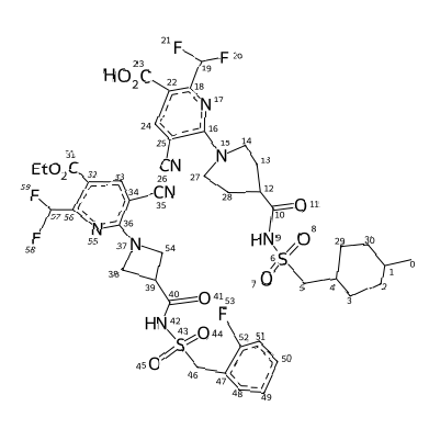 CC1CCC(CS(=O)(=O)NC(=O)C2CCN(c3nc(C(F)F)c(C(=O)O)cc3C#N)CC2)CC1.CCOC(=O)c1cc(C#N)c(N2CC(C(=O)NS(=O)(=O)Cc3ccccc3F)C2)nc1C(F)F